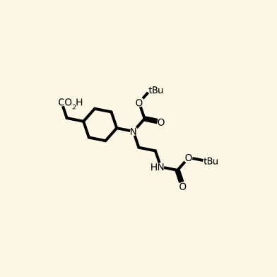 CC(C)(C)OC(=O)NCCN(C(=O)OC(C)(C)C)C1CCC(CC(=O)O)CC1